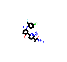 CC(C(N)=O)c1ccc(-c2cc(Nc3ccc(Cl)cc3CF)ccc2O)nc1N